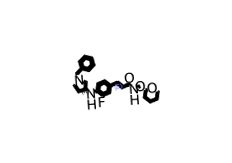 O=C(/C=C/c1ccc(N[C@@H]2CCN(Cc3ccccc3)C2)c(F)c1)NOC1CCCCO1